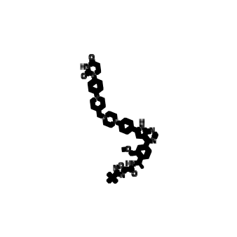 COCc1cc(-c2ncnc3[nH]c(-c4ccc(N5CCN(CC6CCN(c7ccc(N8CCC(=O)NC8=O)cc7)CC6)CC5)cc4)cc23)ccc1[C@@H](C)NC(=O)c1nc(C(C)(C)C)no1